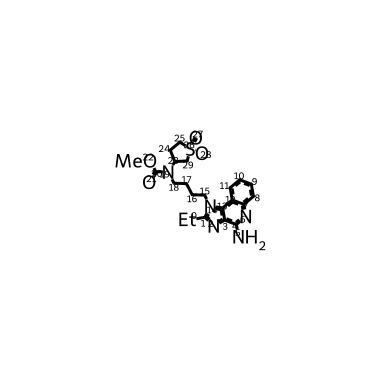 CCc1nc2c(N)nc3ccccc3c2n1CCCCN(C(=O)OC)C1CCS(=O)(=O)C1